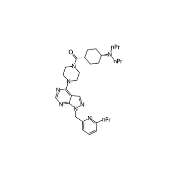 CCCc1cccc(Cn2ncc3c(N4CCN(C(=O)[C@H]5CC[C@H](N(CCC)CCC)CC5)CC4)ncnc32)n1